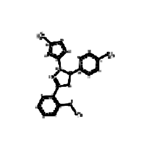 COc1ccccc1C1=NN(c2nc(C)cs2)C(c2ccc(C)cc2)C1